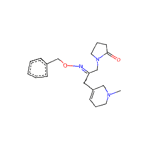 CN1CCC=C(C/C(CN2CCCC2=O)=N\OCc2ccccc2)C1